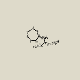 CCCCCCCC(CCCCCC)NC1CCCCCC1